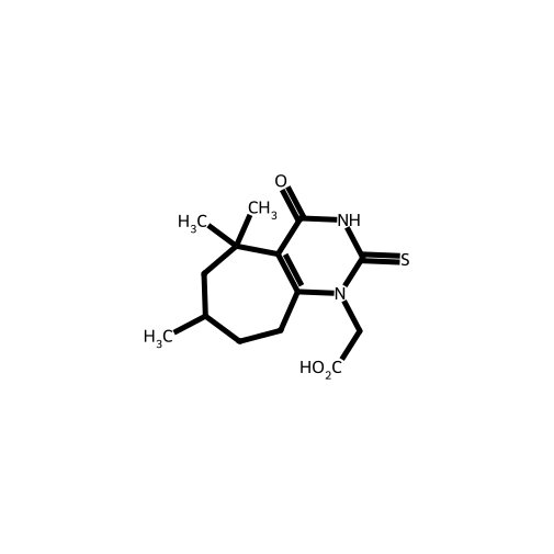 CC1CCc2c(c(=O)[nH]c(=S)n2CC(=O)O)C(C)(C)C1